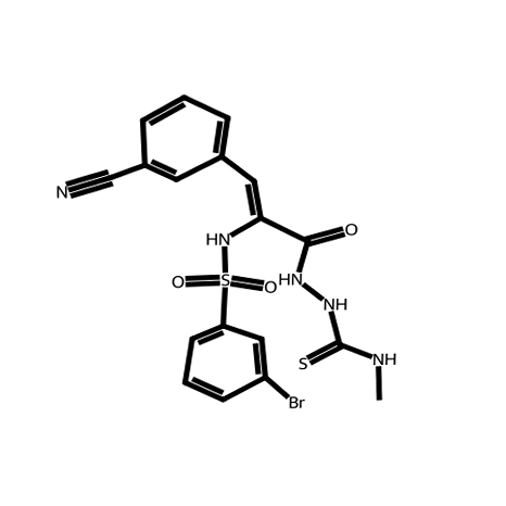 CNC(=S)NNC(=O)C(=Cc1cccc(C#N)c1)NS(=O)(=O)c1cccc(Br)c1